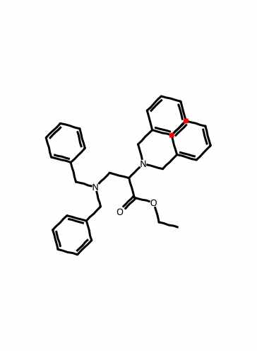 CCOC(=O)C(CN(Cc1ccccc1)Cc1ccccc1)N(Cc1ccccc1)Cc1ccccc1